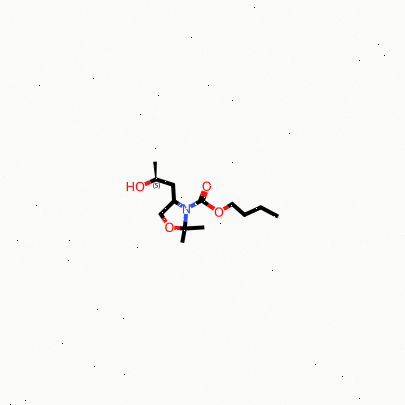 CCCCOC(=O)N1C(C[C@H](C)O)COC1(C)C